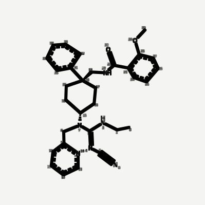 CCNC(=NC#N)N(Cc1ccccn1)[C@H]1CC[C@@](CNC(=O)c2ccccc2OC)(c2ccccc2)CC1